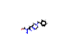 O=CNc1cc2n(n1)CCN(Cc1ccccc1)C2